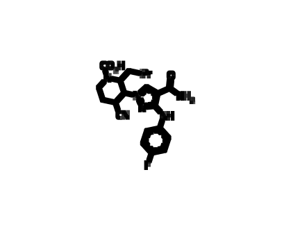 CC(C)CC1C(n2cc(C(N)=O)c(Nc3ccc(F)cc3)n2)C(C#N)CCN1C(=O)O